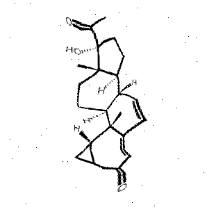 CC(=O)[C@@]1(O)CC[C@H]2[C@@H]3C=CC4=CC(=O)C5C[C@@H]5[C@]4(C)[C@H]3CC[C@@]21C